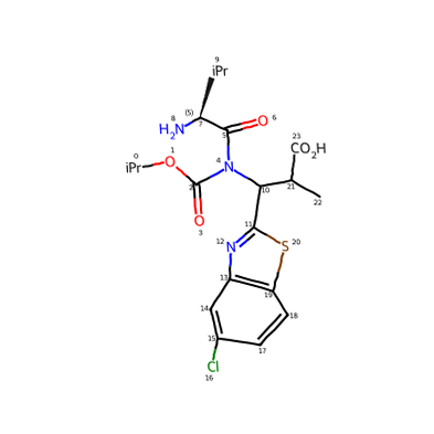 CC(C)OC(=O)N(C(=O)[C@@H](N)C(C)C)C(c1nc2cc(Cl)ccc2s1)C(C)C(=O)O